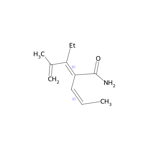 C=C(C)/C(CC)=C(\C=C/C)C(N)=O